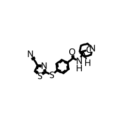 N#Cc1csc(Sc2ccc(C(=O)N[C@H]3CN4CCC3CC4)cc2)n1